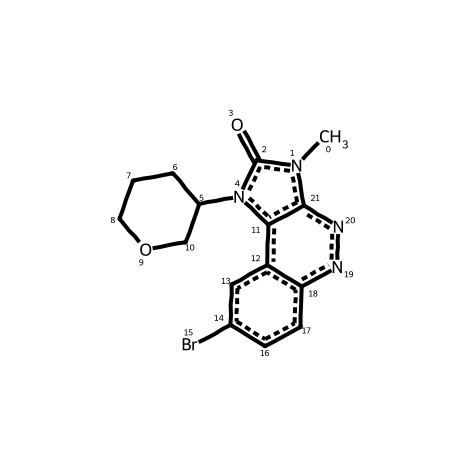 Cn1c(=O)n(C2CCCOC2)c2c3cc(Br)ccc3nnc21